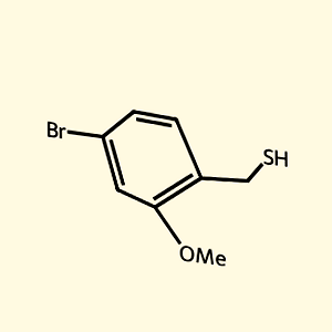 COc1cc(Br)ccc1CS